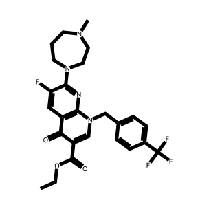 CCOC(=O)c1cn(Cc2ccc(C(F)(F)F)cc2)c2nc(N3CCCN(C)CC3)c(F)cc2c1=O